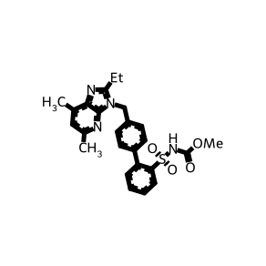 CCc1nc2c(C)cc(C)nc2n1Cc1ccc(-c2ccccc2S(=O)(=O)NC(=O)OC)cc1